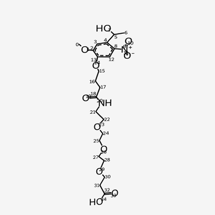 COc1cc(C(C)O)c([N+](=O)[O-])cc1OCCCC(=O)NCCOCCOCCOCCC(=O)O